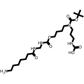 CC(C)(C)OC(=O)N(CCCCOC(=O)NCNC(=O)CCCCCCN)CCCNC(=O)O